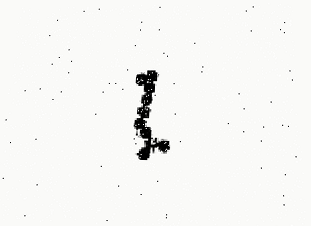 c1ccc(-c2nc(-c3ccccc3)nc(-c3ccc4c(c3)oc3ccc(-c5ccc(-c6ccc(-c7ccc8c9ccccc9c9ccccc9c8c7)cc6)cc5)cc34)n2)cc1